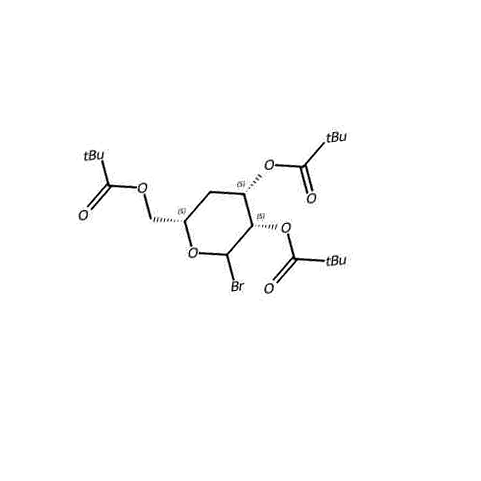 CC(C)(C)C(=O)OC[C@@H]1C[C@H](OC(=O)C(C)(C)C)[C@H](OC(=O)C(C)(C)C)C(Br)O1